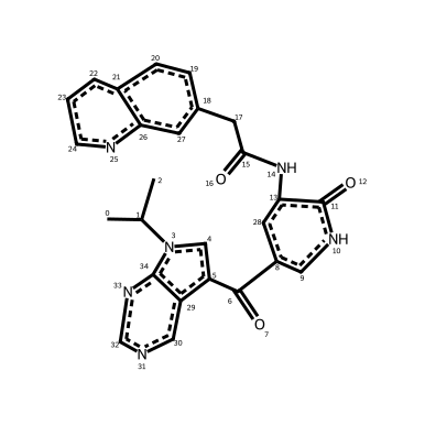 CC(C)n1cc(C(=O)c2c[nH]c(=O)c(NC(=O)Cc3ccc4cccnc4c3)c2)c2cncnc21